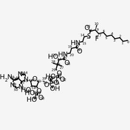 CCCCCCC[C@H](F)[C@H](C)C(=O)SCCNC(=O)CCNC(=O)[C@H](O)C(C)(C)COP(=O)(O)OP(=O)(O)OC[C@H]1O[C@@H](n2cnc3c(N)ncnc32)[C@H](O)[C@@H]1OP(=O)(O)O